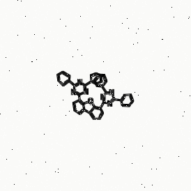 c1ccc(-c2nc(-c3ccccc3)nc(-c3cccc4c3oc3c(-c5nc(-c6ccccc6)nc(-c6ccccc6)n5)cccc34)n2)cc1